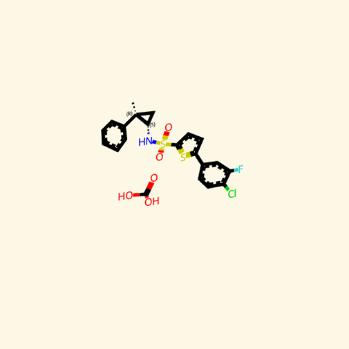 C[C@]1(c2ccccc2)C[C@@H]1NS(=O)(=O)c1ccc(-c2ccc(Cl)c(F)c2)s1.O=C(O)O